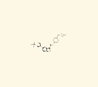 CC(C)(C)n1cc(-c2ccc3[nH]nc(C(=O)NC4CCC(CN5CC(F)C5)CC4)c3c2)cn1